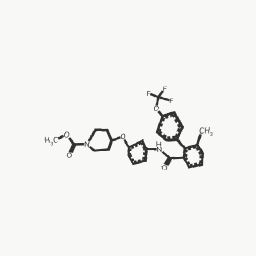 COC(=O)N1CCC(Oc2cccc(NC(=O)c3cccc(C)c3-c3ccc(OC(F)(F)F)cc3)c2)CC1